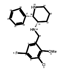 COc1c(Cl)cc(F)cc1CN[C@H]1CCCN[C@H]1c1ccccc1